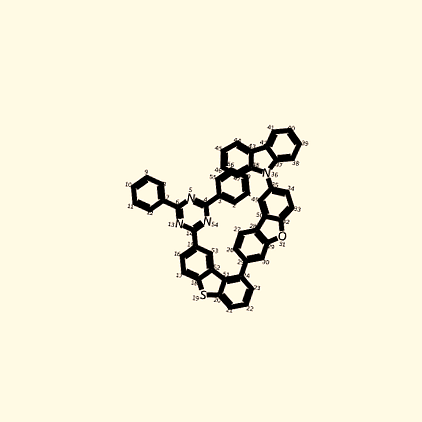 c1ccc(-c2nc(-c3ccccc3)nc(-c3ccc4sc5cccc(-c6ccc7c(c6)oc6ccc(-n8c9ccccc9c9ccccc98)cc67)c5c4c3)n2)cc1